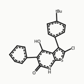 CC(C)(C)c1ccc(-c2c(Cl)sc3[nH]c(=O)c(-c4ccccc4)c(O)c23)cc1